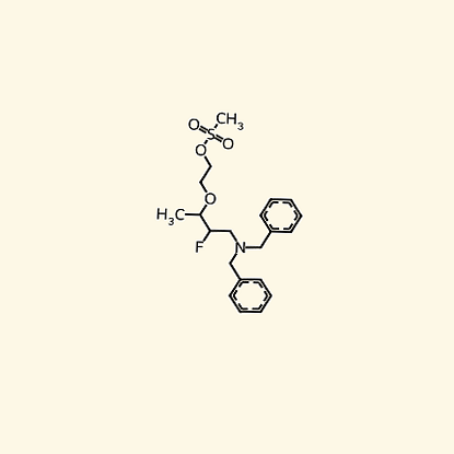 CC(OCCOS(C)(=O)=O)C(F)CN(Cc1ccccc1)Cc1ccccc1